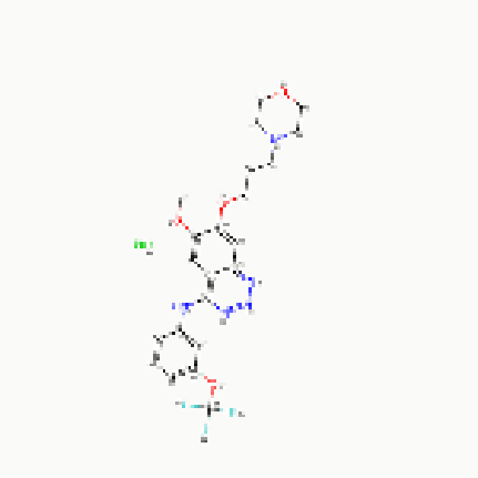 COc1cc2c(Nc3cccc(OC(F)(F)F)c3)nnnc2cc1OCCCN1CCOCC1.Cl